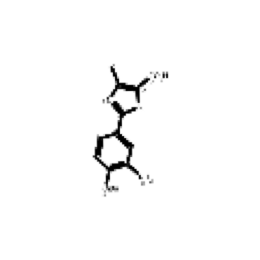 Cc1nc(-c2ccc(OCC(C)C)c(N)c2)sc1C(=O)O